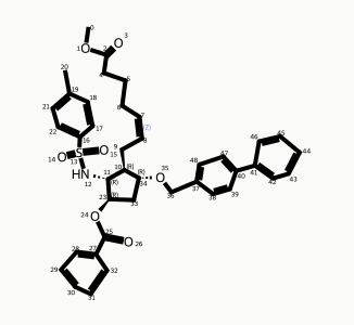 COC(=O)CCC/C=C\C[C@@H]1[C@@H](NS(=O)(=O)c2ccc(C)cc2)[C@H](OC(=O)c2ccccc2)C[C@H]1OCc1ccc(-c2ccccc2)cc1